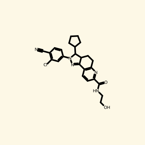 N#Cc1ccc(N2N=C3c4ccc(C(=O)NCCO)nc4CCC3C2C2CCCC2)cc1Cl